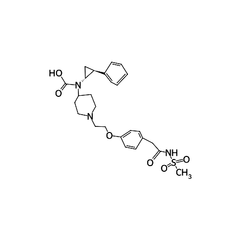 CS(=O)(=O)NC(=O)Cc1ccc(OCCN2CCC(N(C(=O)O)[C@@H]3C[C@H]3c3ccccc3)CC2)cc1